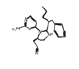 CCCC(Cc1ccccc1)C1NCC(CC#N)N1c1ccnc(N)n1